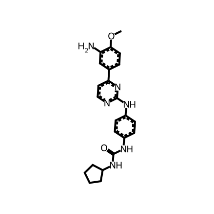 COc1ccc(-c2ccnc(Nc3ccc(NC(=O)NC4CCCC4)cc3)n2)cc1N